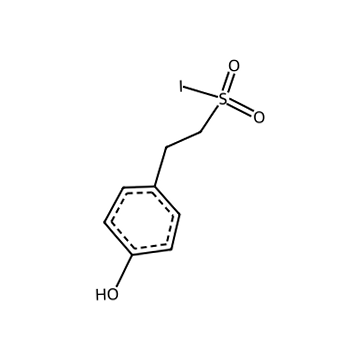 O=S(=O)(I)CCc1ccc(O)cc1